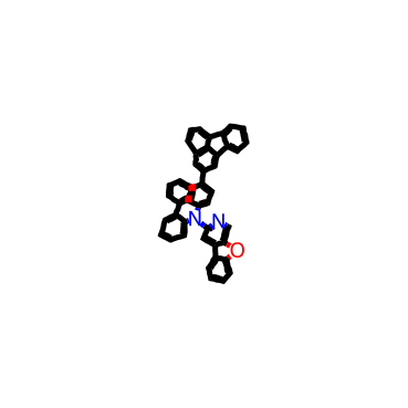 c1ccc(-c2ccccc2N(c2ccc(-c3cc4c5c(cccc5c3)-c3ccccc3-4)cc2)c2cc3c(cn2)oc2ccccc23)cc1